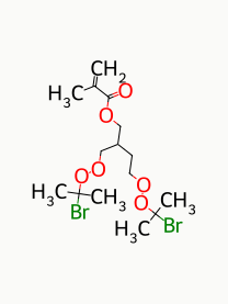 C=C(C)C(=O)OCC(CCOOC(C)(C)Br)COOC(C)(C)Br